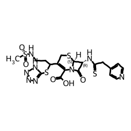 CS(=O)(=O)NCCC(Sc1nnn[nH]1)C1=C(C(=O)O)N2C(=O)[C@@H](NC(=S)Cc3ccncc3)[C@@H]2SC1